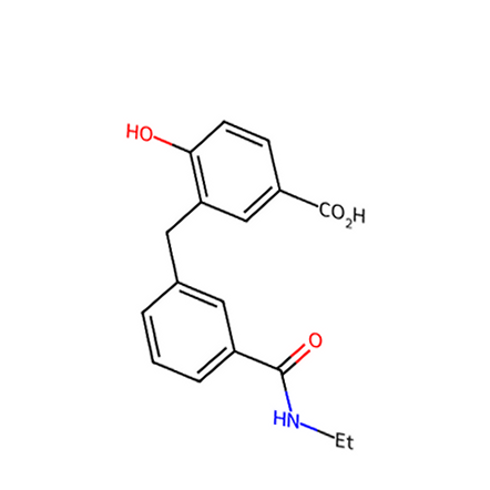 CCNC(=O)c1cccc(Cc2cc(C(=O)O)ccc2O)c1